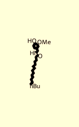 CCCCC=CCC=CCCCCCCCCC(=O)NCc1ccc(O)c(OC)c1